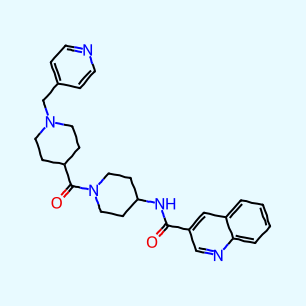 O=C(NC1CCN(C(=O)C2CCN(Cc3ccncc3)CC2)CC1)c1cnc2ccccc2c1